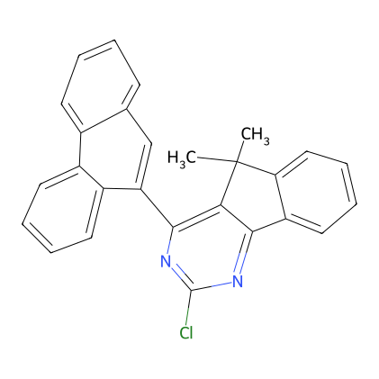 CC1(C)c2ccccc2-c2nc(Cl)nc(-c3cc4ccccc4c4ccccc34)c21